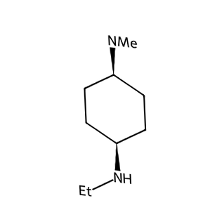 CCN[C@H]1CC[C@@H](NC)CC1